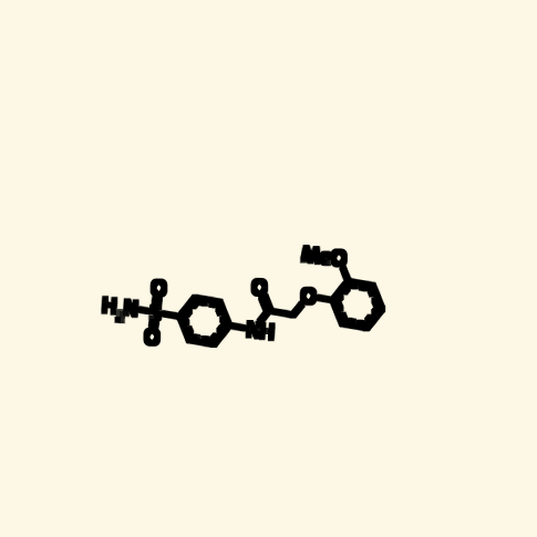 COc1ccccc1OCC(=O)Nc1ccc(S(N)(=O)=O)cc1